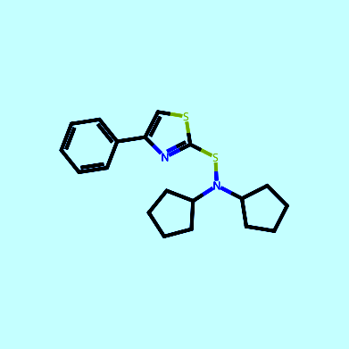 c1ccc(-c2csc(SN(C3CCCC3)C3CCCC3)n2)cc1